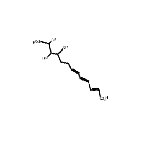 CCCCCCCCC(O)C(O)C(O)CCC=CC=CC=CC(=O)O